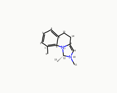 Cc1cccc2c1N1C(=CN(C)[C@@H]1C)CC2